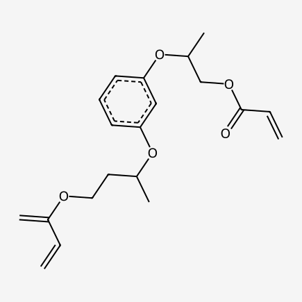 C=CC(=C)OCCC(C)Oc1cccc(OC(C)COC(=O)C=C)c1